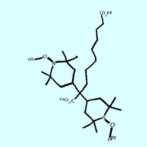 CCCON1C(C)(C)CC(C(CCCCCCCC(=O)O)(C(=O)O)C2CC(C)(C)N(OCCC)C(C)(C)C2)CC1(C)C